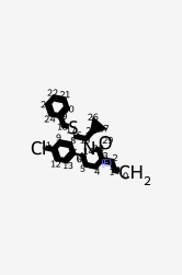 C=C/C=C1\CC[C@@H](c2ccc(Cl)cc2)N(C(CSCc2ccccc2)C2CC2)C1=O